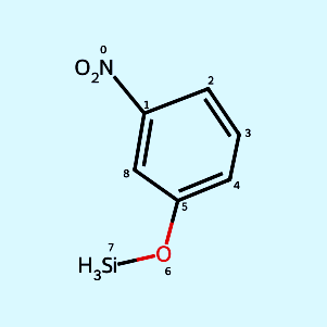 O=[N+]([O-])c1cccc(O[SiH3])c1